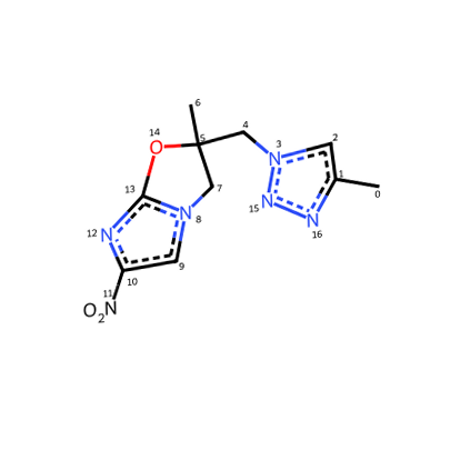 Cc1cn(CC2(C)Cn3cc([N+](=O)[O-])nc3O2)nn1